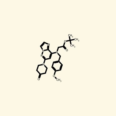 COc1ccc(CN(CC(=O)OC(C)(C)C)c2cc(N3CCC(=O)CC3)nn3ccnc23)cc1